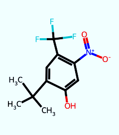 CC(C)(C)c1cc(C(F)(F)F)c([N+](=O)[O-])cc1O